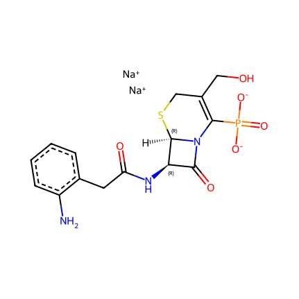 Nc1ccccc1CC(=O)N[C@@H]1C(=O)N2C(P(=O)([O-])[O-])=C(CO)CS[C@H]12.[Na+].[Na+]